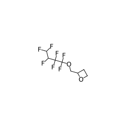 FC(F)C(F)C(F)(F)C(F)(F)OCC1CCO1